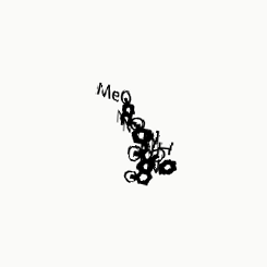 COc1ccc2c(Oc3ccc(NC(=O)c4cc5c(n(-c6ccccc6)c4=O)CCCC5=O)nc3)ncnc2c1